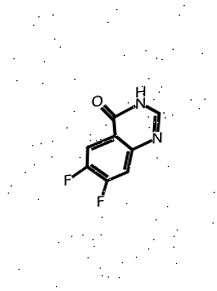 O=c1[nH][c]nc2cc(F)c(F)cc12